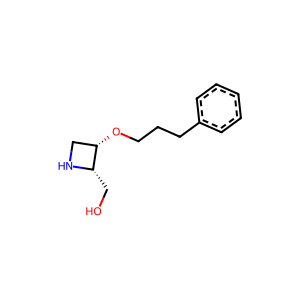 OC[C@@H]1NC[C@@H]1OCCCc1ccccc1